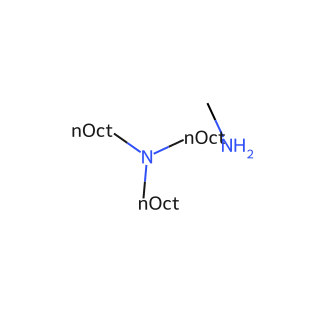 CCCCCCCCN(CCCCCCCC)CCCCCCCC.CN